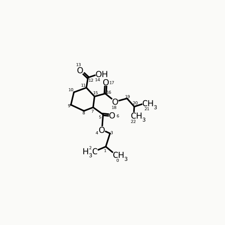 CC(C)COC(=O)C1CCCC(C(=O)O)C1C(=O)OCC(C)C